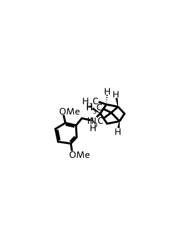 COc1ccc(OC)c(CN[C@H]2C[C@H]3C[C@@H]([C@@H]2C)C3(C)C)c1